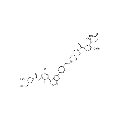 COc1ccc(C(=O)N2CCC3(CCN(CCc4ccc(-c5cc6c(-c7cc(F)cc(NC(=O)N8C[C@@H](CC(C)C)[C@H](O)C8)c7C)ncnc6[nH]5)cc4)CC3)CC2)cc1N1CCC(=O)NC1=O